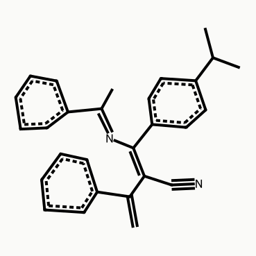 C=C(/C(C#N)=C(\N=C(/C)c1ccccc1)c1ccc(C(C)C)cc1)c1ccccc1